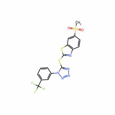 CS(=O)(=O)c1ccc2nc(Sc3nnnn3-c3cccc(C(F)(F)F)c3)sc2c1